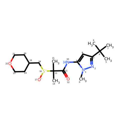 Cn1nc(C(C)(C)C)cc1NC(=O)C(C)(C)[S+]([O-])CC1CCOCC1